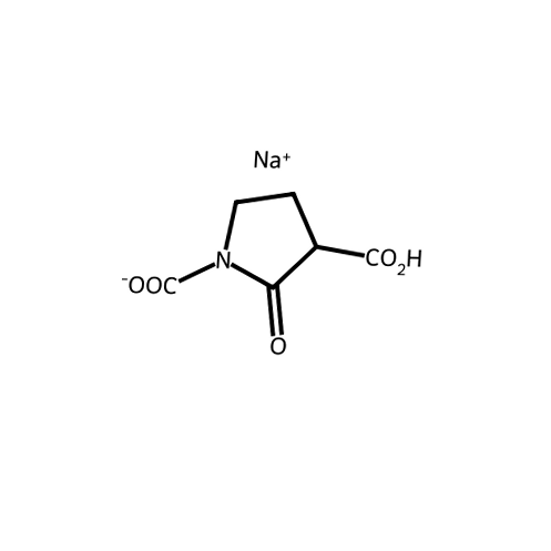 O=C(O)C1CCN(C(=O)[O-])C1=O.[Na+]